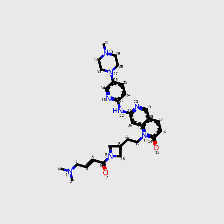 CN(C)CC=CC(=O)N1CC(CCn2c(=O)ccc3cnc(Nc4ccc(N5CCN(C)CC5)cn4)cc32)C1